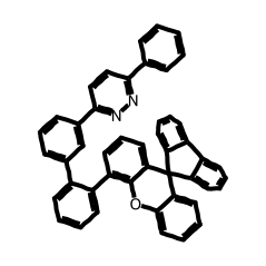 c1ccc(-c2ccc(-c3cccc(-c4ccccc4-c4cccc5c4Oc4ccccc4C54c5ccccc5-c5ccccc54)c3)nn2)cc1